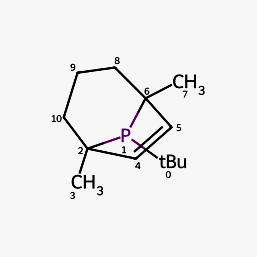 CC(C)(C)P1C2(C)C=CC1(C)CCC2